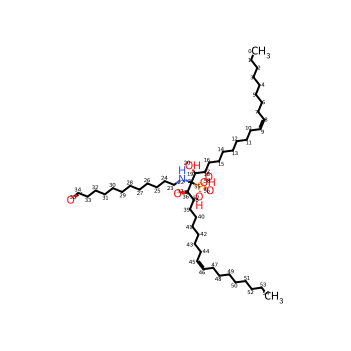 CCCCCCCC/C=C\CCCCCCCC(=O)C(O)C(NCCCCCCCCCCC[C]=O)(C(=O)CCCCCCC/C=C\CCCCCCCC)P(=O)(O)O